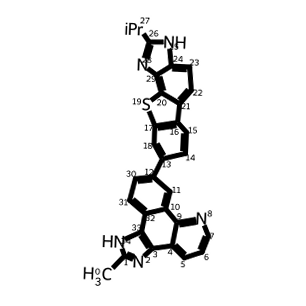 Cc1nc2c3cccnc3c3cc(-c4ccc5c(c4)sc4c5ccc5[nH]c(C(C)C)nc54)ccc3c2[nH]1